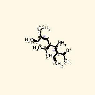 C=C/C(C(=O)O)=C(/N)C(/C=C(\C=C)OC)=C(C)C